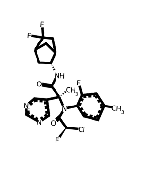 Cc1ccc(N(C(=O)[C@H](F)Cl)[C@](C)(C(=O)N[C@@H]2CC3CC2CC3(F)F)c2cncnc2)c(F)c1